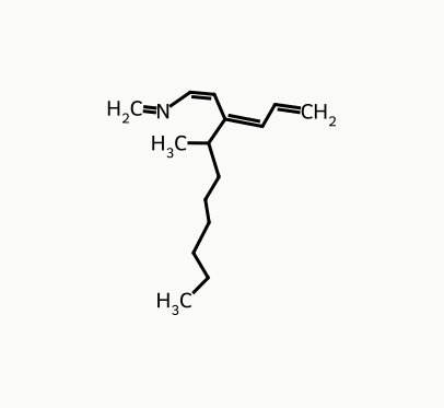 C=C/C=C(\C=C/N=C)C(C)CCCCCC